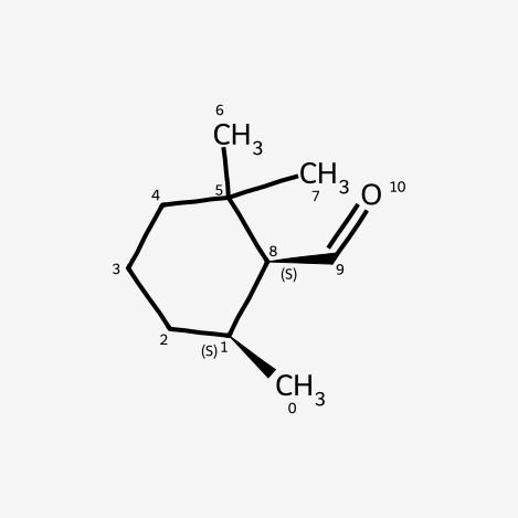 C[C@H]1CCCC(C)(C)[C@H]1C=O